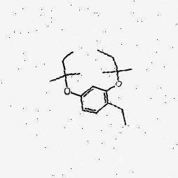 [CH2]Cc1ccc(OC(C)(C)CC)cc1OC(C)(C)CC